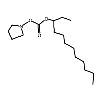 CCCCCCCCCC(CC)OC(=O)ON1CCCC1